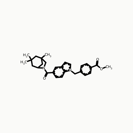 COC(=O)c1ccc(Cn2ccc3cc(C(=O)N4CC5(C)CC4CC(C)(C)C5)ccc32)cc1